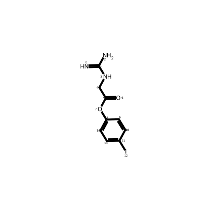 N=C(N)NCC(=O)Oc1ccc(I)cc1